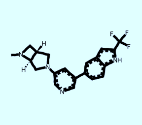 CN1C[C@@H]2CN(c3cncc(-c4ccc5[nH]c(C(F)(F)F)cc5c4)c3)C[C@H]21